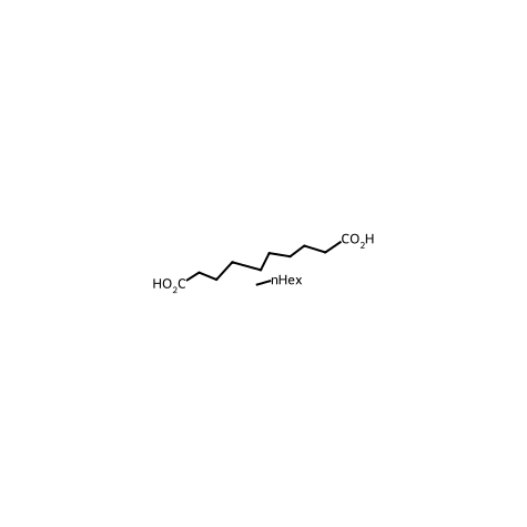 CCCCCCC.O=C(O)CCCCCCCCC(=O)O